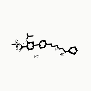 CC(C)Sc1cc(-c2ccc(CCCNC[C@@H](O)c3ccccc3)cc2)ccc1C(=O)NS(C)(=O)=O.Cl